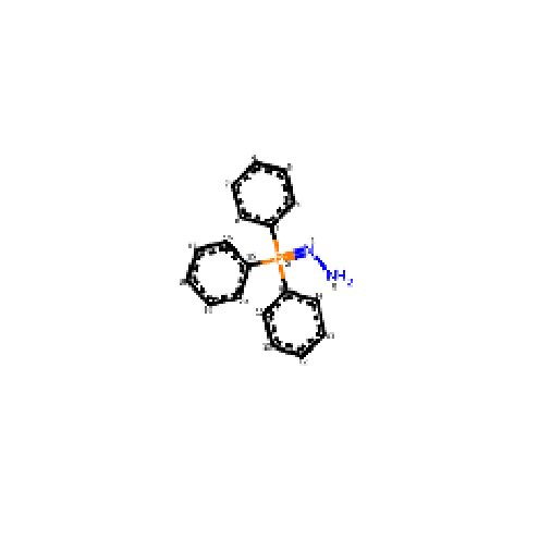 NN=P(c1ccccc1)(c1ccccc1)c1ccccc1